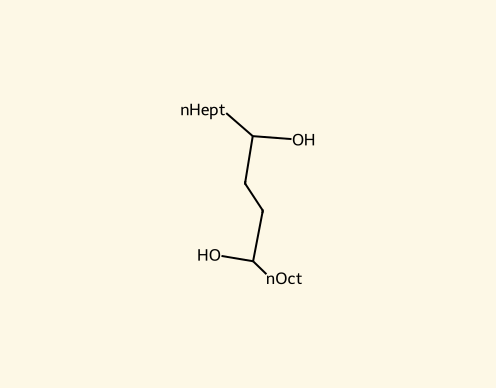 CCCCCCCCC(O)CCC(O)CCCCCCC